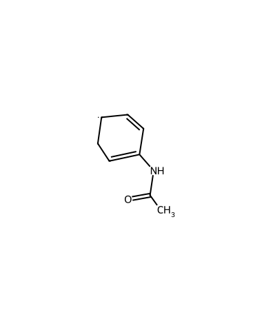 CC(=O)NC1=CC[CH]C=C1